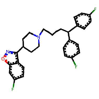 Fc1ccc(C(CCCN2CCC(c3noc4cc(F)ccc34)CC2)c2ccc(F)cc2)cc1